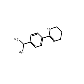 CC(C)c1ccc(C2=NCCCN2)cc1